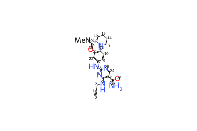 C#CCNc1nc(Nc2ccc(N3CCCC[C@H]3C(=O)NC)cc2)ncc1C(N)=O